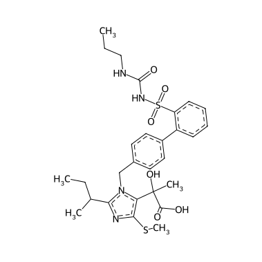 CCCNC(=O)NS(=O)(=O)c1ccccc1-c1ccc(Cn2c(C(C)CC)nc(SC)c2C(C)(O)C(=O)O)cc1